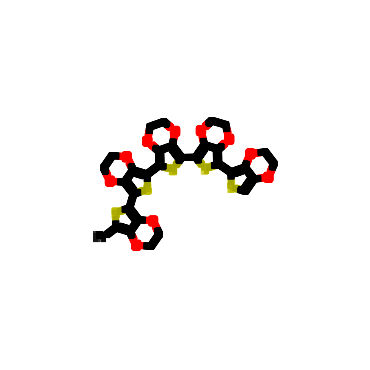 CC(C)c1sc(-c2sc(-c3sc(-c4sc(-c5scc6c5OCCO6)c5c4OCCO5)c4c3OCCO4)c3c2OCCO3)c2c1OCCO2